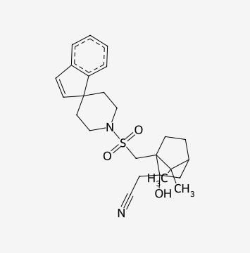 CC1(C)C2CCC1(CS(=O)(=O)N1CCC3(C=Cc4ccccc43)CC1)C(O)(CC#N)C2